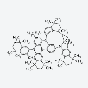 Cc1cc2c3c(c1)N(c1cc4c(cc1C)C(C)(C)CCC4(C)C)c1cc4c(cc1B3c1ccc3cc1N2c1cc2c(cc1C)C(C)(C)CCC2(C)C1CCC2(C)c5cc6c(cc5N3C2(C)C1)C(C)(C)CCC6(C)C)C(C)(C)CCC4(C)C